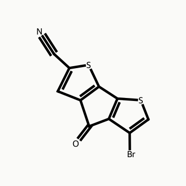 N#Cc1cc2c(s1)-c1scc(Br)c1C2=O